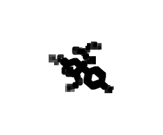 C=C(C)CC(N[S@@+]([O-])CCCC)(C(=O)OC(C)C)c1ccc(Br)cc1